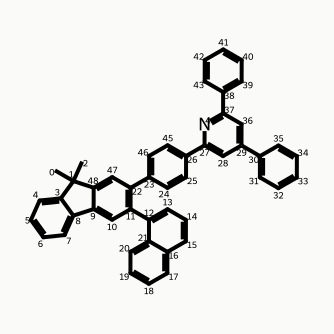 CC1(C)c2ccccc2-c2cc(-c3cccc4ccccc34)c(-c3ccc(-c4cc(-c5ccccc5)cc(-c5ccccc5)n4)cc3)cc21